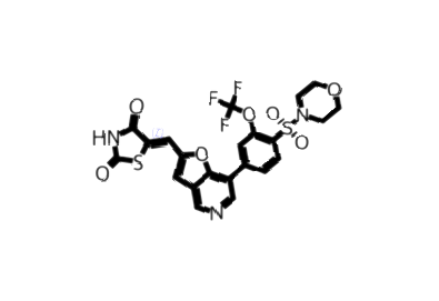 O=C1NC(=O)/C(=C/c2cc3cncc(-c4ccc(S(=O)(=O)N5CCOCC5)c(OC(F)(F)F)c4)c3o2)S1